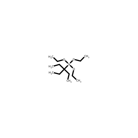 CCO[Si](OCC)(OCC)C(CC)(CC)CC